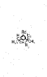 CC(C)(C)c1cc(P)cc(C(C)(C)C)c1.[Pd]